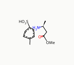 COC(=O)C[C@H](C)N.Cc1ccc(S(=O)(=O)O)cc1